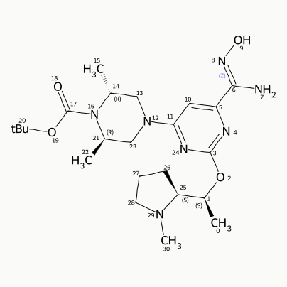 C[C@H](Oc1nc(/C(N)=N/O)cc(N2C[C@@H](C)N(C(=O)OC(C)(C)C)[C@H](C)C2)n1)[C@@H]1CCCN1C